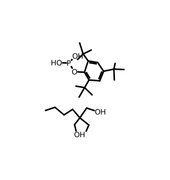 CC(C)(C)c1cc(C(C)(C)C)c(OP(O)O)c(C(C)(C)C)c1.CCCCC(CC)(CO)CO